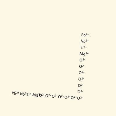 [Mg+2].[Mg+2].[Nb+5].[Nb+5].[O-2].[O-2].[O-2].[O-2].[O-2].[O-2].[O-2].[O-2].[O-2].[O-2].[O-2].[O-2].[O-2].[Pb+2].[Pb+2].[Ti+4].[Ti+4]